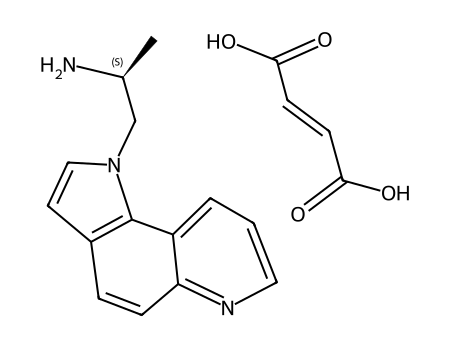 C[C@H](N)Cn1ccc2ccc3ncccc3c21.O=C(O)C=CC(=O)O